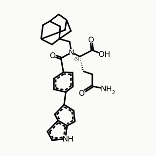 NC(=O)CC[C@@H](C(=O)O)N(CC12CC3CC(CC(C3)C1)C2)C(=O)c1ccc(-c2ccc3[nH]ccc3c2)cc1